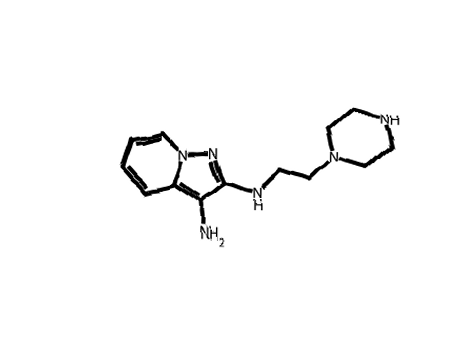 Nc1c(NCCN2CCNCC2)nn2ccccc12